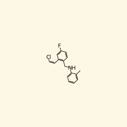 Cc1ccccc1NCc1ccc(F)cc1/C=C\Cl